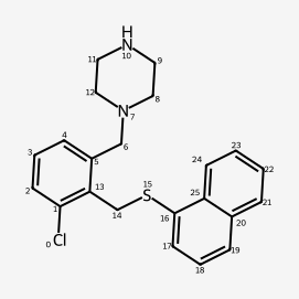 Clc1cccc(CN2CCNCC2)c1CSc1cccc2ccccc12